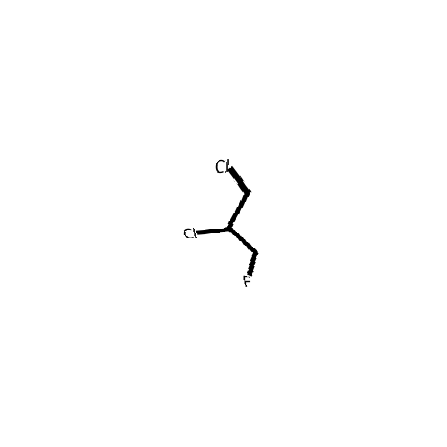 FC[C](Cl)CCl